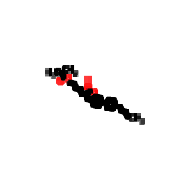 C=C(C)C(=O)OCCCCCC(=Cc1ccc([C@H]2CC[C@H](CCCCC)CC2)cc1)C(=O)O